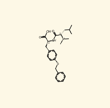 CC(C)C[C@@H](C(=O)N[C@@H](Cc1ccc(OCc2ccccc2)cc1)C(=O)O)N(C)C